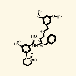 CCNc1cc(C(=O)N[C@@H](Cc2ccccc2)[C@H](O)CNCc2cc(OC(C)C)cc(OC(C)C)c2)cc(N2CCCCS2(=O)=O)c1